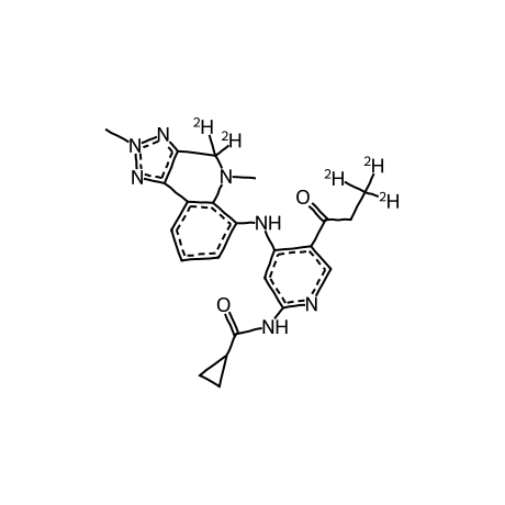 [2H]C([2H])([2H])CC(=O)c1cnc(NC(=O)C2CC2)cc1Nc1cccc2c1N(C)C([2H])([2H])c1nn(C)nc1-2